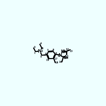 CCN(CC)Cc1ccc(-n2nc(C)nc2C)c(C)c1